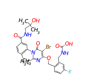 Cc1ccc(C(=O)NCC(C)(C)O)cc1-n1c(C)nc(OCc2ccc(F)cc2CNC(=O)O)c(Br)c1=O